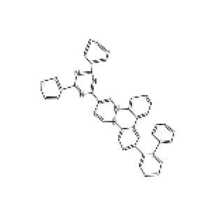 C1=CC(c2nc(-c3ccccc3)nc(-c3ccccc3)n2)=CN2B1c1ccc(-c3ccccc3-c3ccccc3)cc1-c1ccccc12